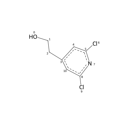 OCCc1cc(Cl)nc(Cl)c1